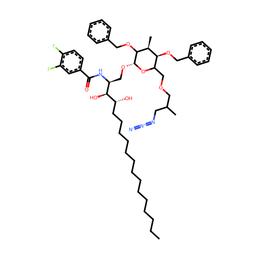 CCCCCCCCCCCCCC[C@@H](O)[C@@H](O)[C@H](CO[C@H]1OC(COCC(C)CN=[N+]=[N-])[C@H](OCc2ccccc2)[C@H](C)C1OCc1ccccc1)NC(=O)c1ccc(F)c(F)c1